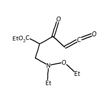 CCOC(=O)C(CN(CC)OCC)C(=O)C=C=O